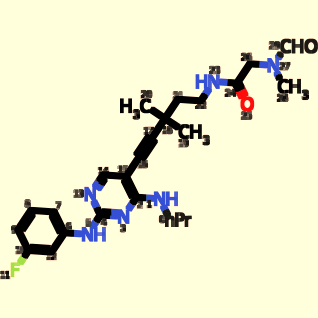 CCCNc1nc(Nc2cccc(F)c2)ncc1C#CC(C)(C)CCNC(=O)CN(C)C=O